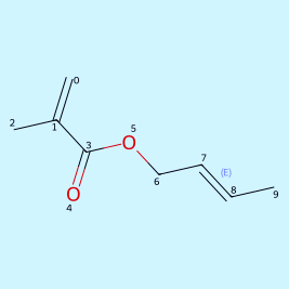 C=C(C)C(=O)OC/C=C/C